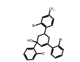 OC1(c2ccccc2Cl)C=C(c2ccccc2Br)CC(c2ccc(C(F)(F)F)cc2Br)C1